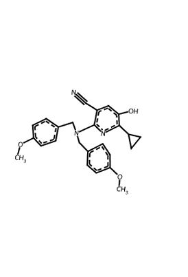 COc1ccc(CN(Cc2ccc(OC)cc2)c2nc(C3CC3)c(O)cc2C#N)cc1